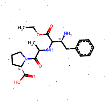 CCOC(=O)C(NC(C)C(=O)N1CCC[C@H]1C(=O)O)[C@@H](N)Cc1ccccc1